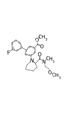 COCCN(C)C(=O)C1CCCCN1c1cc(C(=O)OC)cc(-c2cccc(F)c2)c1